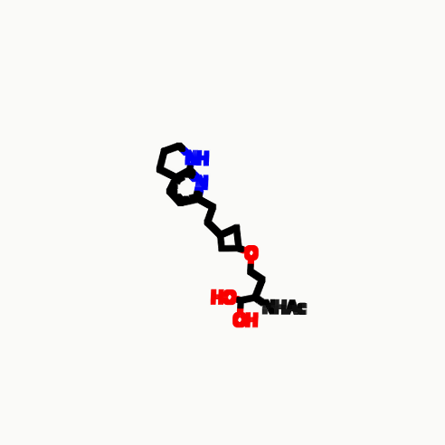 CC(=O)NC(CCOC1CC(CCc2ccc3c(n2)NCCC3)C1)C(O)O